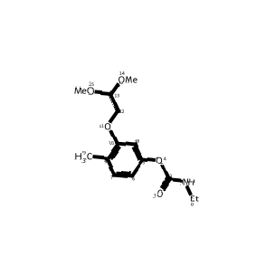 CCNC(=O)Oc1ccc(C)c(OCC(OC)OC)c1